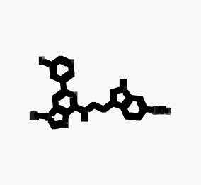 COc1ccc2c(CCNc3nc(-c4cncc(F)c4)cc4c3ncn4C(C)C)c[nH]c2c1